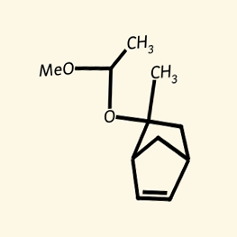 COC(C)OC1(C)CC2C=CC1C2